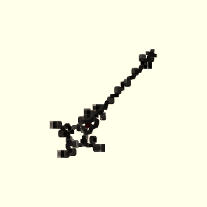 CC(C)(C)OC(=O)NCCOCCOCCOCCOCCNC(=S)Nc1ccc(CC2CN(CC(=O)O)CCN(CC(=O)O)CCN(CC(O)O)CCN2CC(=O)O)cc1